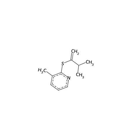 C=C(Sc1ncccc1C)C(C)C